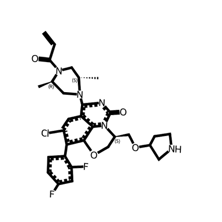 C=CC(=O)N1C[C@H](C)N(c2nc(=O)n3c4c(c(-c5ccc(F)cc5F)c(Cl)cc24)OC[C@@H]3COC2CCNC2)C[C@H]1C